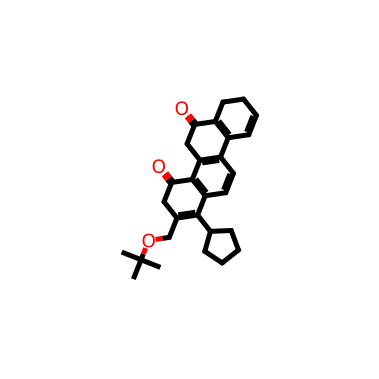 CC(C)(C)OCC1=C(C2CCCC2)c2ccc3c(c2C(=O)C1)CC(=O)C1=C3C=CCC1